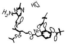 CC(=C(CCOC(=O)C(N)Cc1ccc(OC(=O)C(C)(C)C)c(OC(=O)C(C)(C)C)c1)SSC(C)C)N(C=O)Cc1cnc(C)nc1N.Cl